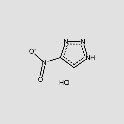 Cl.O=[N+]([O-])c1c[nH]nn1